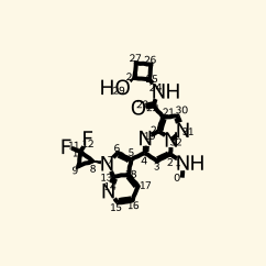 CNc1cc(-c2cn([C@H]3CC3(F)F)c3ncccc23)nc2c(C(=O)NC3CC[C@@H]3O)cnn12